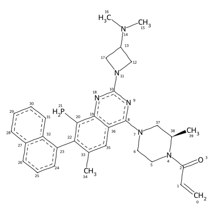 C=CC(=O)N1CCN(c2nc(N3CC(N(C)C)C3)nc3c(P)c(-c4cccc5ccccc45)c(C)cc23)C[C@H]1C